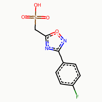 O=S(=O)(O)Cc1nc(-c2ccc(F)cc2)no1